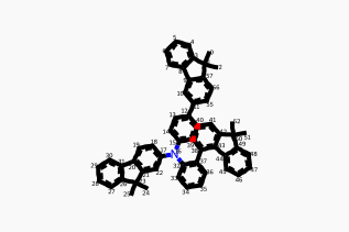 CC1(C)c2ccccc2-c2cc(-c3ccc(N(c4ccc5c(c4)C(C)(C)c4ccccc4-5)c4ccccc4-c4cccc5c4-c4ccccc4C5(C)C)cc3)ccc21